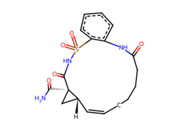 NC(=O)[C@@]12C[C@H]1/C=C\CCCCC(=O)Nc1ccccc1S(=O)(=O)NC2=O